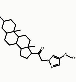 CC1CCC2(C)C(CCC3C2CCC2(C)C(C(=O)Cn4cc(OC(C)C)cn4)CCC32)C1